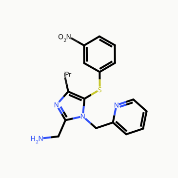 CC(C)c1nc(CN)n(Cc2ccccn2)c1Sc1cccc([N+](=O)[O-])c1